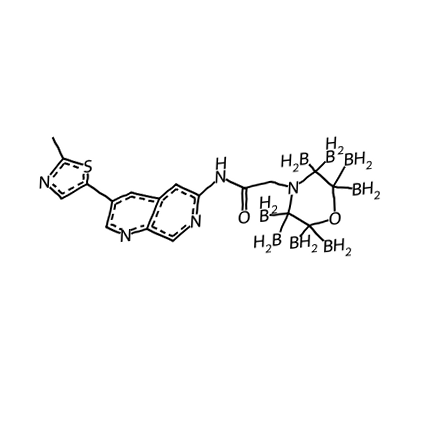 BC1(B)OC(B)(B)C(B)(B)N(CC(=O)Nc2cc3cc(-c4cnc(C)s4)cnc3cn2)C1(B)B